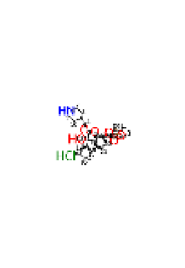 Cl.O=C(OCC1CCNCC1)C(O)(c1ccccc1)c1cccc(OS(=O)(=O)C(F)(F)F)c1